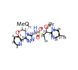 COC[C@H]1COc2cccnc2-c2nnc(NS(=O)(=O)C(C)C(OC(C)C)c3ncc(C)cn3)n21